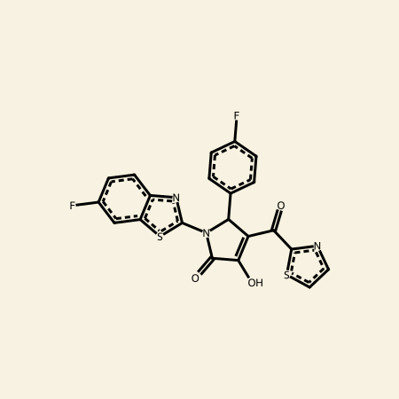 O=C(C1=C(O)C(=O)N(c2nc3ccc(F)cc3s2)C1c1ccc(F)cc1)c1nccs1